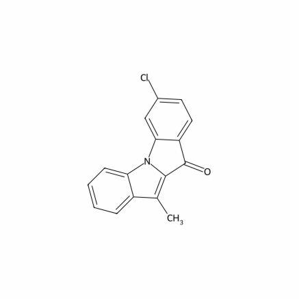 Cc1c2n(c3ccccc13)-c1cc(Cl)ccc1C2=O